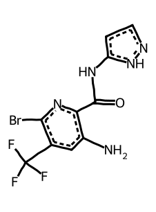 Nc1cc(C(F)(F)F)c(Br)nc1C(=O)Nc1ccn[nH]1